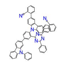 N#Cc1ccccc1-c1ccc2c(c1)c1cc(-c3ccccc3C#N)ccc1n2-c1ccc(-c2ccc3c4ccccc4n(-c4ccccc4)c3c2)cc1-c1nc(-c2ccccc2)nc(-c2ccccc2)n1